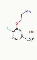 Br.NCCOc1cc(C(=O)O)ccc1F